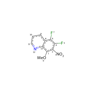 COc1c([N+](=O)[O-])c(F)c(F)c2cccnc12